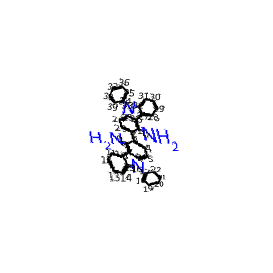 Nc1c(-c2ccc3c(c2N)c2ccccc2n3-c2ccccc2)ccc2c1c1ccccc1n2-c1ccccc1